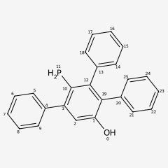 Oc1cc(-c2ccccc2)c(P)c(-c2ccccc2)c1-c1ccccc1